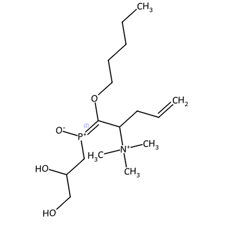 C=CCC(/C(OCCCCC)=[P+](/[O-])CC(O)CO)[N+](C)(C)C